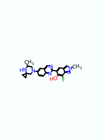 C[C@H]1CN(c2ccc3nc(-c4cc5cn(C)nc5c(F)c4O)ncc3c2)CC2(CC2)N1